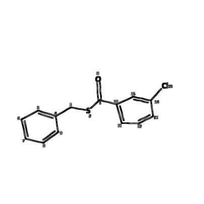 O=C(SCc1ccccc1)c1cccc(Cl)c1